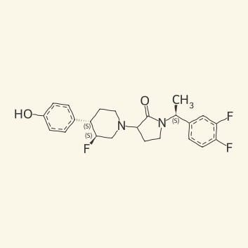 C[C@@H](c1ccc(F)c(F)c1)N1CCC(N2CC[C@@H](c3ccc(O)cc3)[C@H](F)C2)C1=O